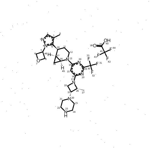 Cc1cnn(C2COC2)c1[C@H]1CCN(c2cc(N3C[C@@H](N4CCNCC4)[C@H]3C)nc(C(F)(F)F)n2)[C@H]2C[C@@H]12.O=C(O)C(F)(F)F